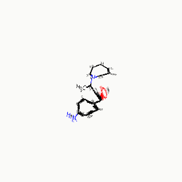 CC(C(=O)c1ccc(N)cc1)N1CCCCCC1